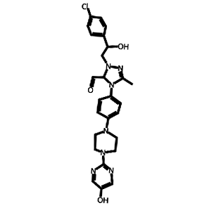 CC1=NN(CC(O)c2ccc(Cl)cc2)C(C=O)N1c1ccc(N2CCN(c3ncc(O)cn3)CC2)cc1